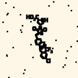 O=C(O)[C@@H]1C[C@@H](N2C(=O)SC(=Cc3ccc4c(cnn4Cc4ccc(Cl)cc4C(F)(F)F)c3)C2=O)CN1